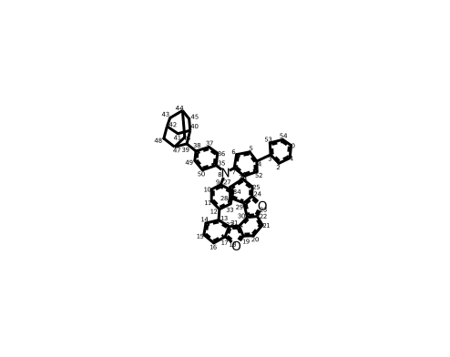 c1ccc(-c2ccc(N(c3ccc(-c4cccc5oc6ccc7oc8ccccc8c7c6c45)cc3)c3ccc(C4C5CC6CC(C5)CC4C6)cc3)cc2)cc1